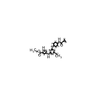 CCOC(=O)c1cc(Nc2nc(CC)nc(Sc3ccc(NC(=O)C4CC4)cc3)n2)n[nH]1